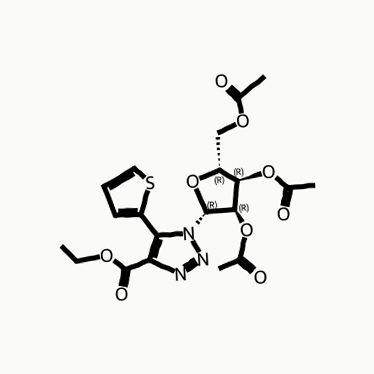 CCOC(=O)c1nnn([C@@H]2O[C@H](COC(C)=O)[C@@H](OC(C)=O)[C@H]2OC(C)=O)c1-c1cccs1